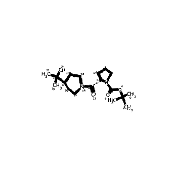 CC(C)(C)OC(=O)N1CCC[C@H]1C(=O)N1CCC(C(C)(C)C)CC1